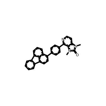 Cn1c(=O)n(C)c2c(-c3ccc(-c4ccc5c6c(cccc46)-c4ccccc4-5)cc3)nccc21